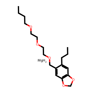 CCCCOCCOCCOCc1cc2c(cc1CCC)OCO2.[MgH2]